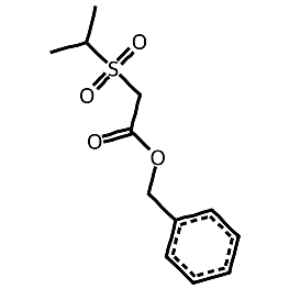 CC(C)S(=O)(=O)CC(=O)OCc1ccccc1